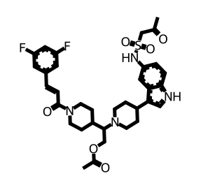 CC(=O)CS(=O)(=O)Nc1ccc2[nH]cc(C3CCN(C(COC(C)=O)C4CCN(C(=O)/C=C/c5cc(F)cc(F)c5)CC4)CC3)c2c1